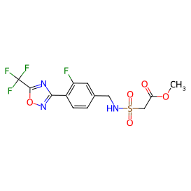 COC(=O)CS(=O)(=O)NCc1ccc(-c2noc(C(F)(F)F)n2)c(F)c1